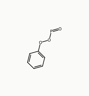 O=POOc1ccccc1